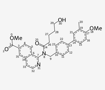 COC(=O)c1ccc2c(N(Cc3ccc(-c4ccc(OC)c(C)c4)cc3)C(=O)CCCCO)nccc2c1